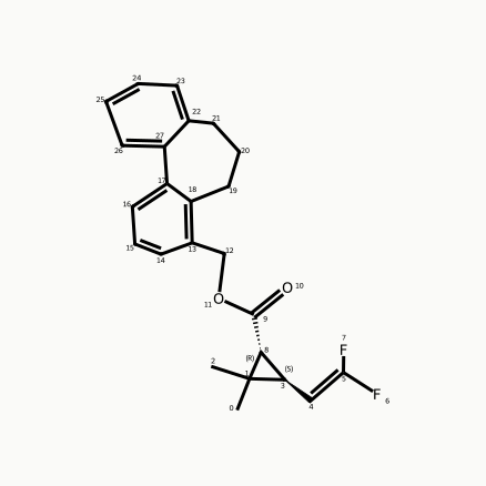 CC1(C)[C@H](C=C(F)F)[C@H]1C(=O)OCc1cccc2c1CCCc1ccccc1-2